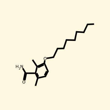 CCCCCCCCCOc1ccc(C)c(C(N)=O)c1C